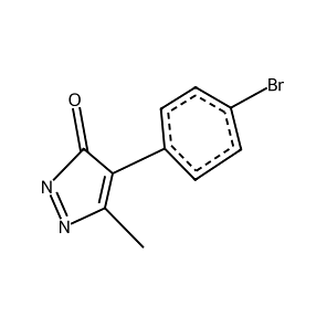 CC1=C(c2ccc(Br)cc2)C(=O)N=N1